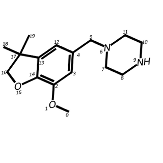 COc1cc(CN2CCNCC2)cc2c1OCC2(C)C